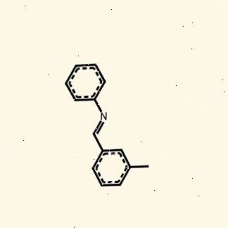 Cc1cccc(C=Nc2ccccc2)c1